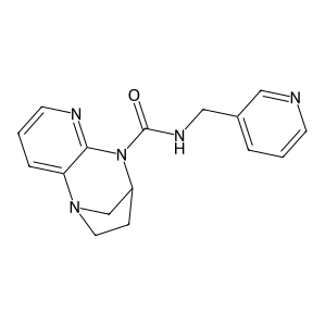 O=C(NCc1cccnc1)N1c2ncccc2N2CCC1C2